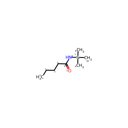 CCCCC(=O)N[Si](C)(C)C